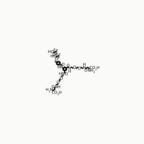 N[C@@H](CC(=O)NCCOCCOCCNC(=O)c1cc(NC(=O)c2ccc(I)cc2)cc(C(=O)NCCOCCOCCNC(=O)C[C@H](N)C(=O)O)c1)C(=O)O.O=C(O)C(F)(F)F.O=C(O)C(F)(F)F